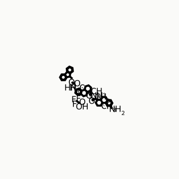 C[C@]1(C(=O)NC(=O)[C@@]2(C)CCC[C@]3(C)c4cc(NC(=O)OCC5c6ccccc6-c6ccccc65)ccc4CC[C@@H]23)CCC[C@]2(C)c3cc(N)ccc3CC[C@@H]12.O=C(O)C(F)(F)F